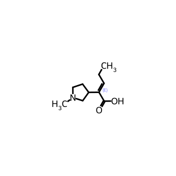 CC/C=C(/C(=O)O)C1CCN(C)C1